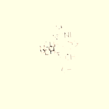 CC.CCCC(C)C1(CC)C(=O)N=C([O-])NC1=O.[Na+]